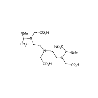 CNC(C(=O)O)N(CCN(CCN(CC(=O)O)C(NC)C(=O)O)CC(=O)O)CC(=O)O